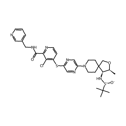 C[C@@H]1OCC2(CCN(c3cnc(Sc4ccnc(C(=O)NCc5cccnc5)c4Cl)cn3)CC2)[C@@H]1N[S+]([O-])C(C)(C)C